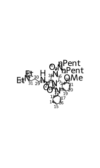 CCCCCN(CCCCC)C(=O)N1CCN(C(=O)N(c2ccccc2)c2cccc(OC)c2)C(C(=O)NCCCN(CC)CC)C1